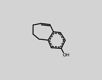 Oc1ccc2c(c1)CCCC=C2